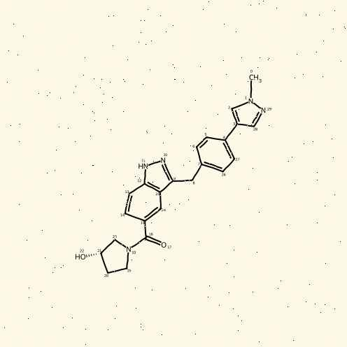 Cn1cc(-c2ccc(Cc3n[nH]c4ccc(C(=O)N5CC[C@H](O)C5)cc34)cc2)cn1